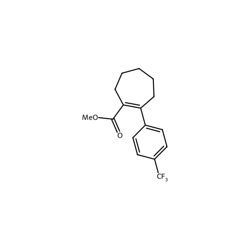 COC(=O)C1=C(c2ccc(C(F)(F)F)cc2)CCCCC1